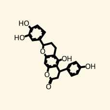 O=C1CC(c2ccc(O)cc2)c2c(cc3c(c2O)CCC(c2ccc(O)c(O)c2)O3)O1